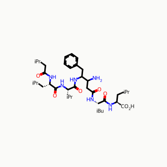 CC[C@H](C)[C@H](NC(=O)CC(N)C(Cc1ccccc1)NC(=O)[C@@H](NC(=O)[C@H](CC(C)C)NC(=O)CC(C)C)C(C)C)C(=O)N[C@@H](CC(C)C)C(=O)O